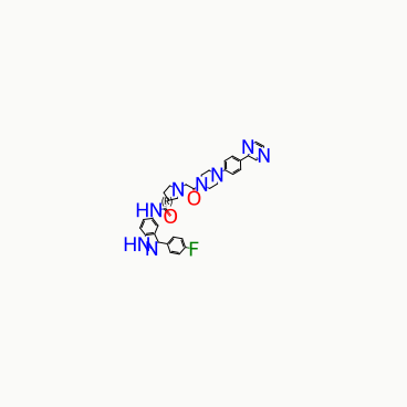 O=C(Nc1ccc2[nH]nc(-c3ccc(F)cc3)c2c1)[C@@H]1CCN(CC(=O)N2CCN(c3ccc(-c4cnccn4)cc3)CC2)C1